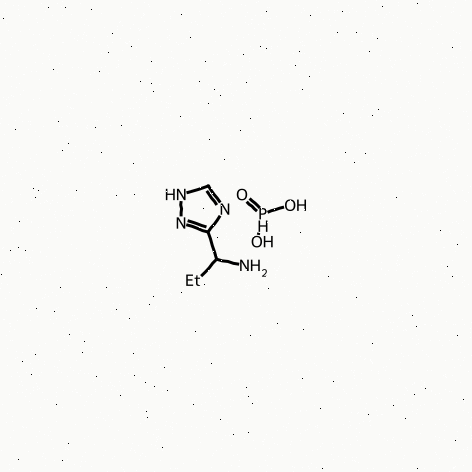 CCC(N)c1nc[nH]n1.O=[PH](O)O